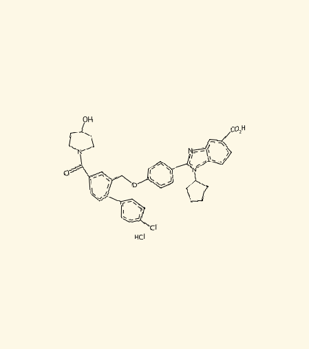 Cl.O=C(O)c1ccc2c(c1)nc(-c1ccc(OCc3cc(C(=O)N4CCC(O)CC4)ccc3-c3ccc(Cl)cc3)cc1)n2C1CCCC1